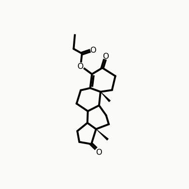 CCC(=O)OC1=C2CCC3C(CC[C@]4(C)C(=O)CCC34)[C@@]2(C)CCC1=O